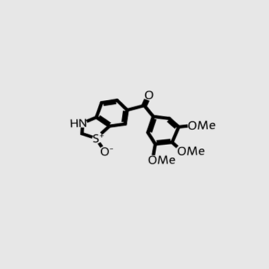 COc1cc(C(=O)c2ccc3c(c2)[S+]([O-])CN3)cc(OC)c1OC